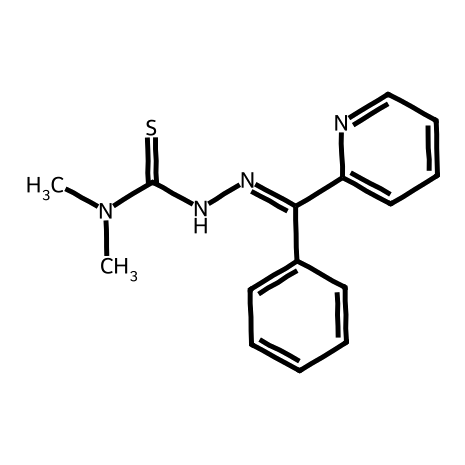 CN(C)C(=S)N/N=C(\c1ccccc1)c1ccccn1